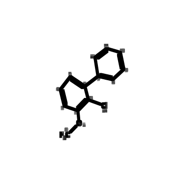 FC(F)(F)Oc1cccc(-c2ccccc2)c1Cl